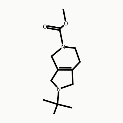 COC(=O)N1CCC2=C(C1)CN(C(C)(C)C)C2